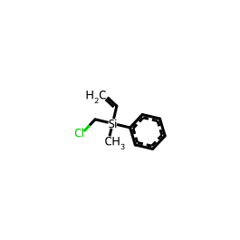 C=C[Si](C)(CCl)c1ccccc1